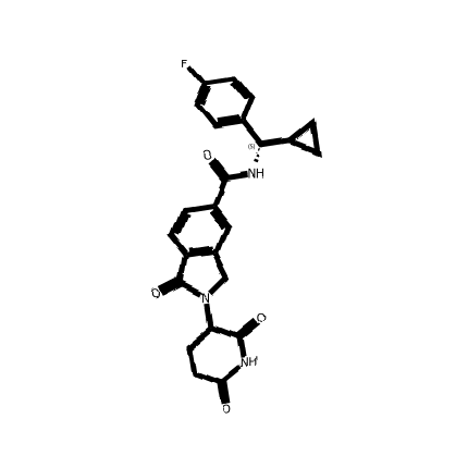 O=C1CCC(N2Cc3cc(C(=O)N[C@H](c4ccc(F)cc4)C4CC4)ccc3C2=O)C(=O)N1